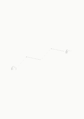 [CH2]C(C)CCC[C](C)C